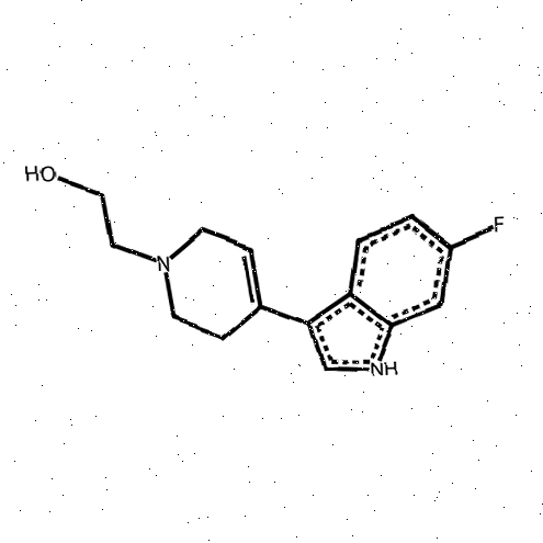 OCCN1CC=C(c2c[nH]c3cc(F)ccc23)CC1